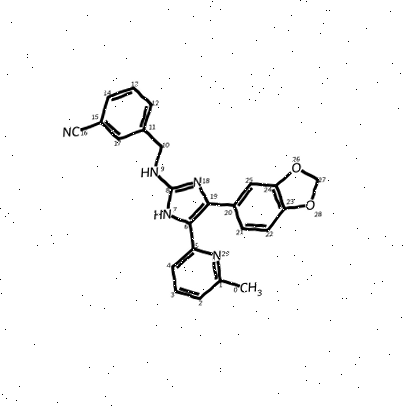 Cc1cccc(-c2[nH]c(NCc3cccc(C#N)c3)nc2-c2ccc3c(c2)OCO3)n1